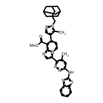 COC(=O)c1c(-c2cnn(CC34CC5CC(CC(C5)C3)C4)c2C)ccn2c(-c3nnc(Nc4nc5ccccc5s4)cc3C)cnc12